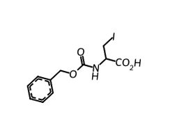 O=C(NC(CI)C(=O)O)OCc1ccccc1